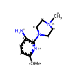 COc1ccc(N)c(N2CCN(C)CC2)n1